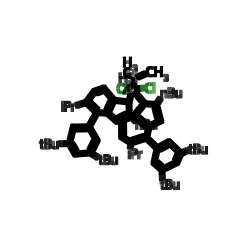 CCCCC1=Cc2c(ccc(C(C)C)c2-c2cc(C(C)(C)C)cc(C(C)(C)C)c2)[CH]1[Zr]([Cl])([Cl])([CH]1C(CCCC)=Cc2c1ccc(C(C)C)c2-c1cc(C(C)(C)C)cc(C(C)(C)C)c1)[SiH](C)C